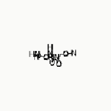 N#Cc1ccc(CCN[C@@H](C(=O)c2c[nH]c3cc(-c4cn[nH]c4)ccc23)c2ccccc2)cc1